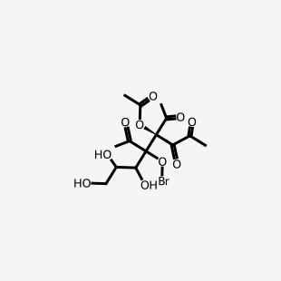 CC(=O)O[C@@](C(C)=O)(C(=O)C(C)=O)C(OBr)(C(C)=O)C(O)C(O)CO